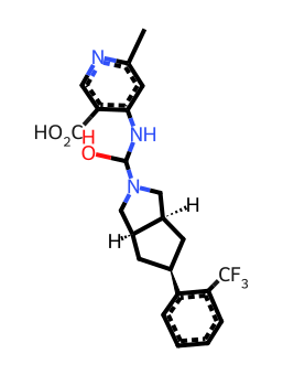 Cc1cc(NC(O)N2C[C@H]3C[C@@H](c4ccccc4C(F)(F)F)C[C@H]3C2)c(C(=O)O)cn1